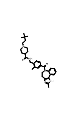 Cc1nc2c([nH]1)-c1ccccc1N(C(=O)c1ccc(CNC(=O)C3CCN(CCC(C)(C)C)CC3)c(C)c1)CC2